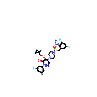 Cc1cc(F)cc(-n2ncc(N3CCN([S+]([O-])Cc4cc(F)cc(F)c4N)CC3)c(OCC3(C)CC3)c2=O)c1